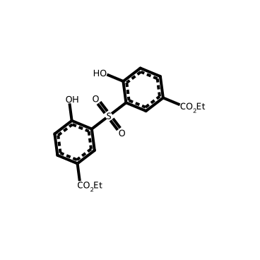 CCOC(=O)c1ccc(O)c(S(=O)(=O)c2cc(C(=O)OCC)ccc2O)c1